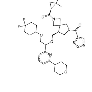 CC1(C)C[C@@H]1C(=O)N1CC2(CN(C(=O)c3cncs3)C[C@H]2COC(COC2CCC(F)(F)CC2)c2cccc(C3CCOCC3)n2)C1